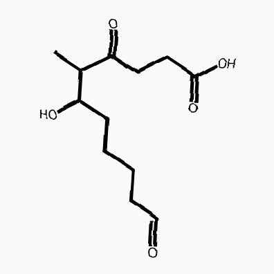 CC(C(=O)CCC(=O)O)C(O)CCCCC=O